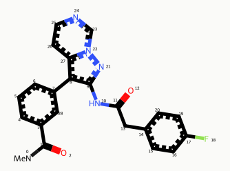 CNC(=O)c1cccc(-c2c(NC(=O)Cc3ccc(F)cc3)nn3cnccc23)c1